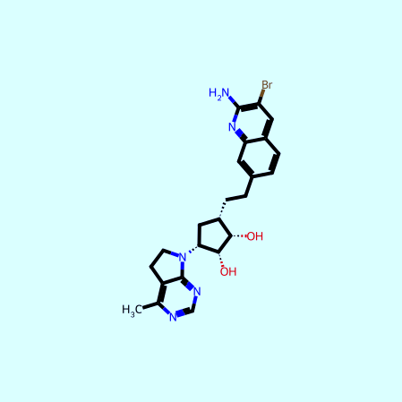 Cc1ncnc2c1CCN2[C@@H]1C[C@H](CCc2ccc3cc(Br)c(N)nc3c2)[C@H](O)[C@@H]1O